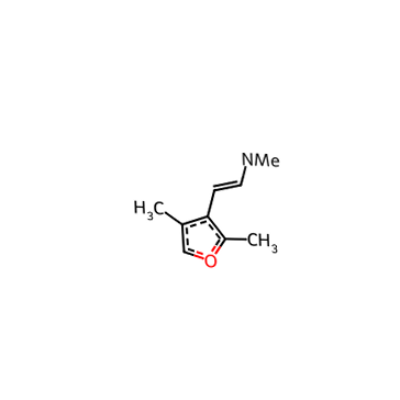 CNC=Cc1c(C)coc1C